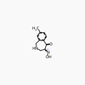 Cc1ccc2c(c1)CNC/C(=N\O)C2=O